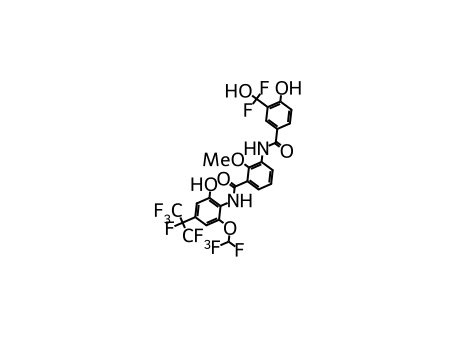 COc1c(NC(=O)c2ccc(O)c(C(O)(F)F)c2)cccc1C(=O)Nc1c(O)cc(C(F)(C(F)(F)F)C(F)(F)F)cc1OC(F)F